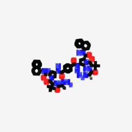 C[C@H](N)C(=O)N[C@H](C(=O)N1C[C@@H](NC(=O)c2ccc(C(=O)N[C@H]3C[C@@H](C(=O)N[C@@H]4CCCc5ccccc54)N(C(=O)[C@@H](NC(=O)[C@H](C)N)C(C)(C)C)C3)cc2)C[C@H]1C(=O)N[C@@H]1CCCc2ccccc21)C(C)(C)C